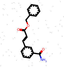 NC(=O)c1cccc(/C=C/C(=O)OCc2ccccc2)c1